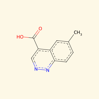 Cc1ccc2nncc(C(=O)O)c2c1